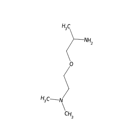 CC(N)COCCN(C)C